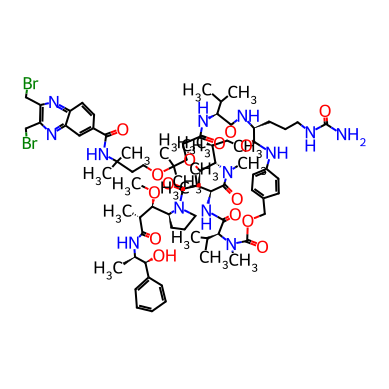 CC[C@H](C)[C@@H]([C@@H](CC(=O)N1CCC[C@H]1[C@H](OC)[C@@H](C)C(=O)N[C@H](C)[C@@H](O)c1ccccc1)OC)N(C)C(=O)[C@@H](NC(=O)[C@H](C(C)C)N(C)C(=O)OCc1ccc(NC(=O)[C@H](CCCNC(N)=O)NC(=O)[C@@H](NC(=O)CCC(C)(C)OCCC(C)(C)NC(=O)c2ccc3nc(CBr)c(CBr)nc3c2)C(C)C)cc1)C(C)C